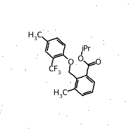 Cc1ccc(OCc2c(C)cccc2C(=O)OC(C)C)c(C(F)(F)F)c1